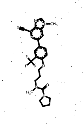 CN(CCCOc1ccc(-c2cc3c(ncn3C)c(C#N)n2)cc1C(F)(F)F)C(=O)N1CCCC1